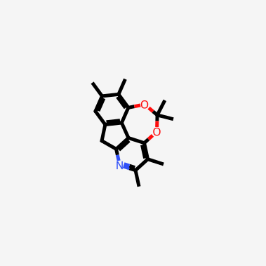 Cc1cc2c3c(c1C)OC(C)(C)Oc1c(C)c(C)nc(c1-3)C2